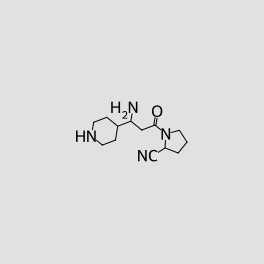 N#CC1CCCN1C(=O)CC(N)C1CCNCC1